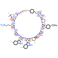 COc1ccc(C[C@@H]2NC(=O)[C@H]([C@@H](C)O)NC(=O)[C@@H]3C[C@H](F)CC3C(=O)[C@H](Cc3c[nH]c4ccc(F)cc34)NC(=O)[C@H](Cc3c[nH]c4ccc(F)cc34)NC(=O)[C@H](C)NC(=O)[C@H](CCCCN)NC(=O)[C@@H](NC(=O)C(C)(C)F)CC(=O)NCCOc3ccc(cc3)C[C@@H](C(N)=O)NC(=O)[C@]3(C)CCCN3C2=O)cc1